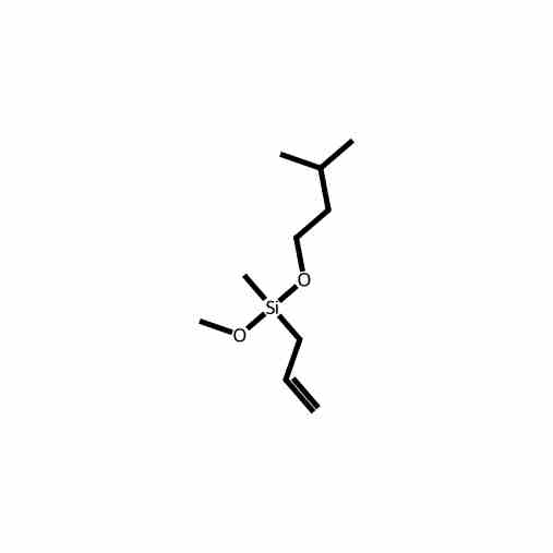 C=CC[Si](C)(OC)OCCC(C)C